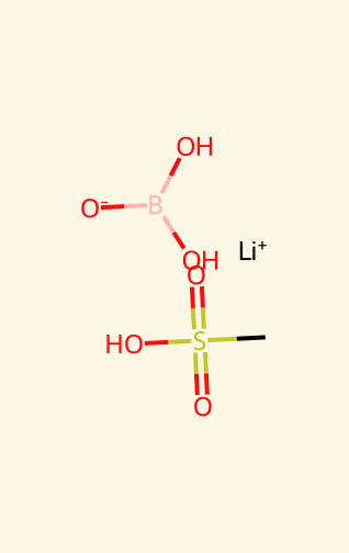 CS(=O)(=O)O.[Li+].[O-]B(O)O